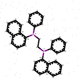 c1ccc(P(CCP(c2ccccc2)c2cccc3ccccc23)c2cccc3ccccc23)cc1